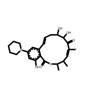 CC1/C=C(/F)C(=O)C(O)C(O)C/C=C/c2cc(N3CCCCC3)cc(O)c2C(=O)OC1C